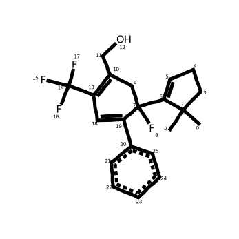 CC1(C)CCC=C1C1(F)CC(CO)=C(C(F)(F)F)C=C1c1ccccc1